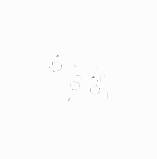 COC[C@@H]1COc2cc3c(cc2O1)C[C@H](C[C@@H](C)COc1ccnc2c1[C@H](C)CCC2)C31CCC(Nc2cccc(Cl)c2)(C(=O)O)CC1